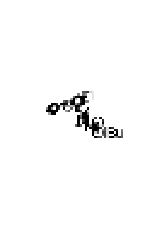 Cc1cc(NC(=O)OCC(C)C)nn1Cc1cc(Cl)ccc1OCc1ccccc1